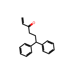 C=CC(=O)CCC(c1ccccc1)c1ccccc1